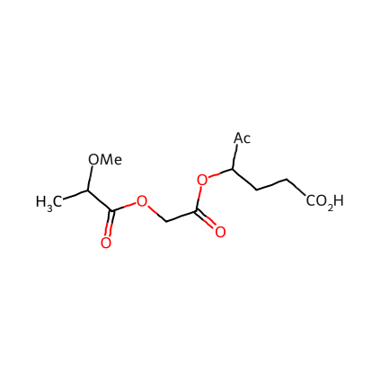 COC(C)C(=O)OCC(=O)OC(CCC(=O)O)C(C)=O